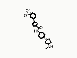 CNC1CCN(c2ccc(NC(=O)c3ccc(-c4cccc([N+](=O)[O-])c4)s3)cc2)C1